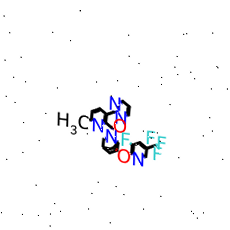 Cc1ccc(-c2ncccn2)c(C(=O)N2CC3CCC2C(Oc2ncc(C(F)(F)F)cc2F)C3)n1